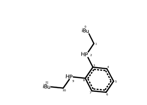 CCC(C)CPc1ccccc1PCC(C)CC